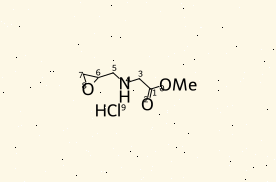 COC(=O)CNCC1CO1.Cl